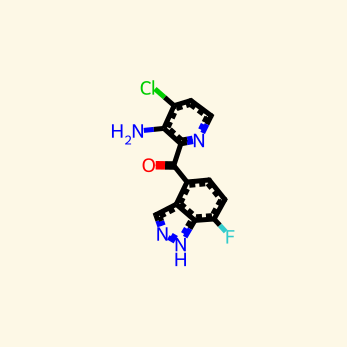 Nc1c(Cl)ccnc1C(=O)c1ccc(F)c2[nH]ncc12